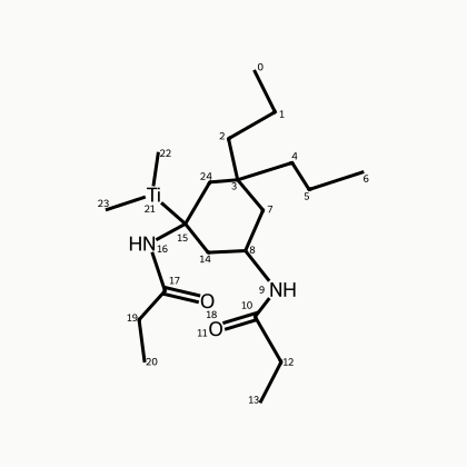 CCCC1(CCC)CC(NC(=O)CC)C[C](NC(=O)CC)([Ti]([CH3])[CH3])C1